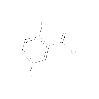 CCC(=O)c1cc(O)ccc1F